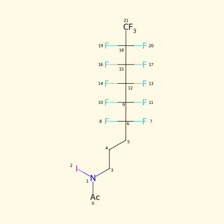 CC(=O)N(I)CCCC(F)(F)C(F)(F)C(F)(F)C(F)(F)C(F)(F)C(F)(F)F